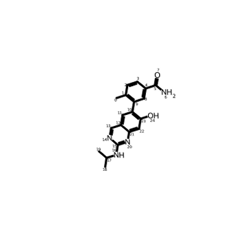 Cc1ccc(C(N)=O)cc1-c1cc2cnc(NC(C)C)nc2cc1O